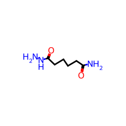 NNC(=O)CCCCC(N)=O